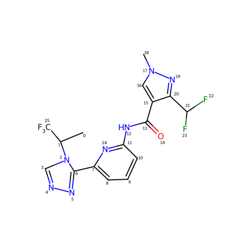 CC(n1cnnc1-c1cccc(NC(=O)c2cn(C)nc2C(F)F)n1)C(F)(F)F